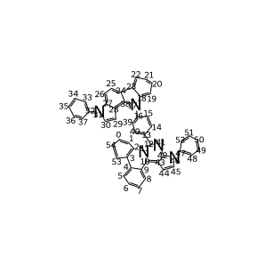 c1ccc(-c2ccccc2-c2nc(-c3ccc(-n4c5ccccc5c5ccc6c(ccn6-c6ccccc6)c54)cc3)nc3c2ccn3-c2ccccc2)cc1